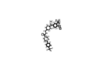 CC(C)(C)c1ccc(N2CCN(C(=O)CCC3CCC(Nc4ccc(N=O)c(C(F)(F)F)c4)CC3)CC2)cc1